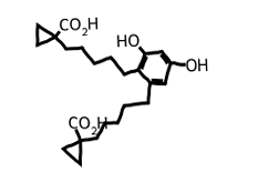 O=C(O)C1(CCCCCc2cc(O)cc(O)c2CCCCCC2(C(=O)O)CC2)CC1